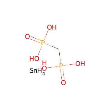 O=P(O)(O)CP(=O)(O)O.[SnH4]